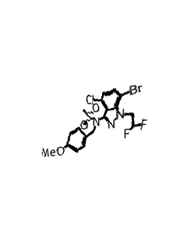 COc1ccc(CN(c2nn(CC(F)F)c3c(Br)ccc(Cl)c23)S(C)(=O)=O)cc1